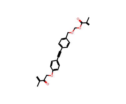 C=C(C)C(=O)COc1ccc(C#Cc2ccc(COCOC(=O)C(=C)C)cc2)cc1